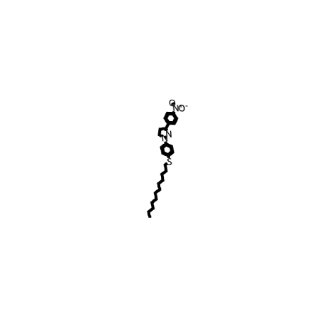 CCCCCCCCCCCCSc1ccc(N2CCC(c3ccc([N+](=O)[O-])cc3)=N2)cc1